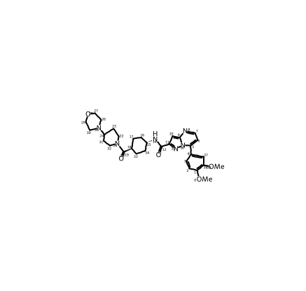 COc1ccc(-c2ccnc3cc(C(=O)N[C@H]4CC[C@H](C(=O)N5CCC(N6CCOCC6)CC5)CC4)nn23)cc1OC